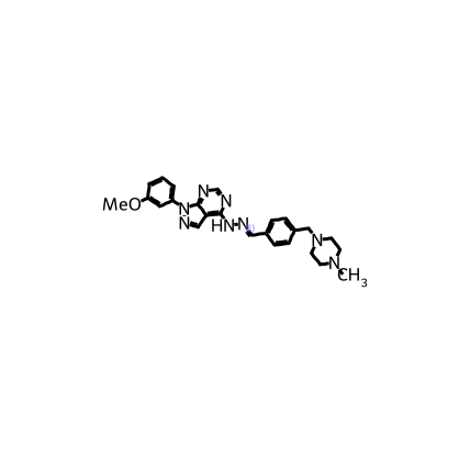 COc1cccc(-n2ncc3c(N/N=C/c4ccc(CN5CCN(C)CC5)cc4)ncnc32)c1